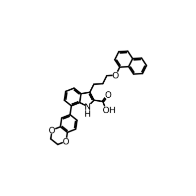 O=C(O)c1[nH]c2c(-c3ccc4c(c3)OCCO4)cccc2c1CCCOc1cccc2ccccc12